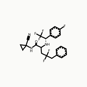 N#CC1(NC(=O)C(CC(F)(F)Cc2ccccc2)N[C@@H](c2ccc(F)cc2)C(F)(F)F)CC1